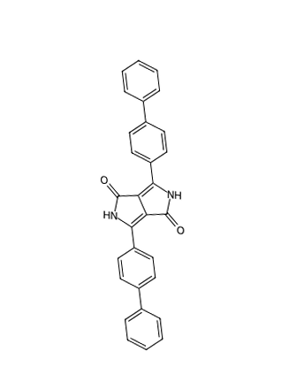 O=C1NC(c2ccc(-c3ccccc3)cc2)=C2C(=O)NC(c3ccc(-c4ccccc4)cc3)=C12